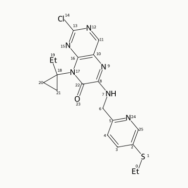 CCSc1ccc(CNc2nc3cnc(Cl)nc3n(C3(CC)CC3)c2=O)nc1